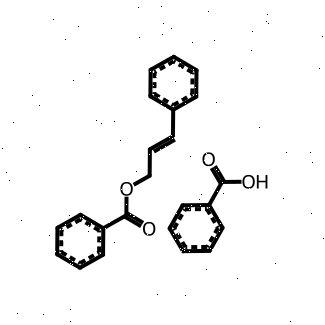 O=C(O)c1ccccc1.O=C(OCC=Cc1ccccc1)c1ccccc1